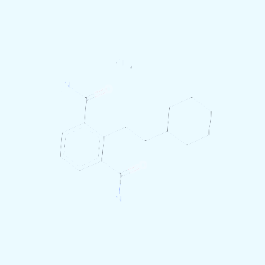 C.NC(=O)c1cccc(C(N)=O)c1CCC1CCCCC1